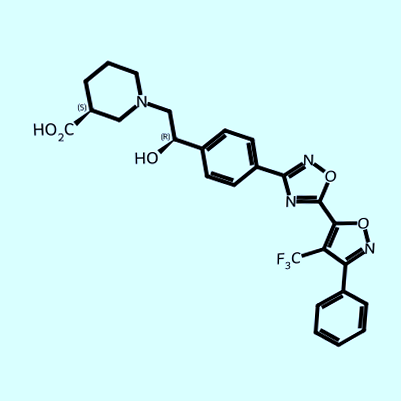 O=C(O)[C@H]1CCCN(C[C@H](O)c2ccc(-c3noc(-c4onc(-c5ccccc5)c4C(F)(F)F)n3)cc2)C1